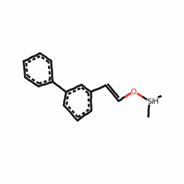 C[SiH](C)OC=Cc1cccc(-c2ccccc2)c1